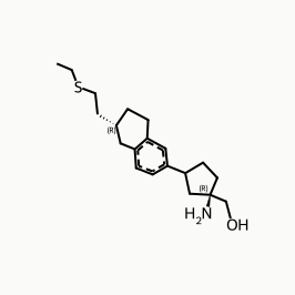 CCSCC[C@@H]1CCc2cc(C3CC[C@](N)(CO)C3)ccc2C1